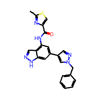 Cc1nc(C(=O)Nc2cc(-c3cnn(Cc4ccccc4)c3)cc3[nH]ncc23)cs1